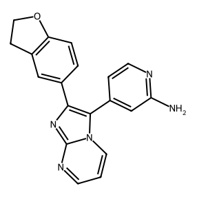 Nc1cc(-c2c(-c3ccc4c(c3)CCO4)nc3ncccn23)ccn1